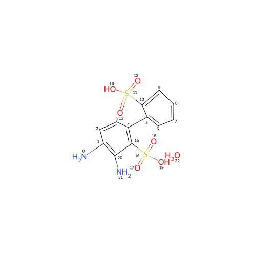 Nc1ccc(-c2ccccc2S(=O)(=O)O)c(S(=O)(=O)O)c1N.O